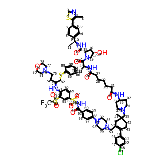 Cc1ncsc1-c1ccc([C@H](C)NC(=O)[C@@H]2C[C@@H](O)CN2C(=O)C(NC(=O)CCCCCC(=O)NC2CCN(CC3(C)CCC(c4ccc(Cl)cc4)=C(CN4CCN(c5ccc(C(=O)NS(=O)(=O)c6ccc(NC(CCN7CCOCC7)CSc7ccccc7)c(S(=O)(=O)C(F)(F)F)c6)cc5)CC4)C3)CC2)C(C)(C)C)cc1